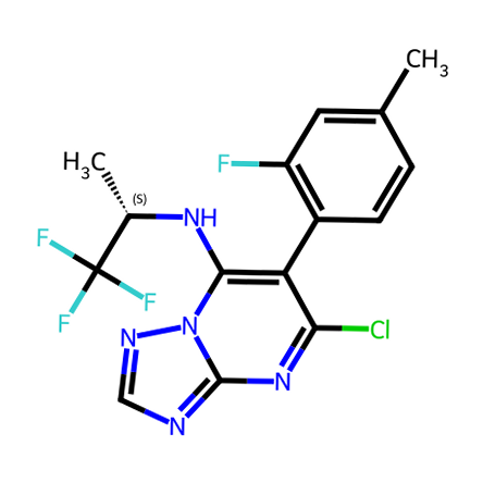 Cc1ccc(-c2c(Cl)nc3ncnn3c2N[C@@H](C)C(F)(F)F)c(F)c1